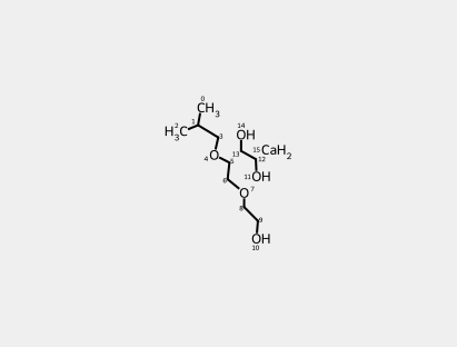 CC(C)COCCOCCO.OCCO.[CaH2]